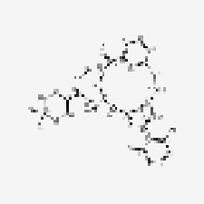 Cc1cccc(C)c1-c1cc2nc(n1)NCc1cccc(c1)C(=O)N1CCN(C3CCC(C)(C)CC3)C[C@@H](C1)O2